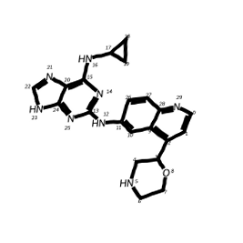 c1cc(C2CNCCO2)c2cc(Nc3nc(NC4CC4)c4nc[nH]c4n3)ccc2n1